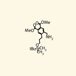 COC(=O)c1cc(CN)c(CCCO[Si](C)(C)C(C)(C)C)cc1C(=O)OC